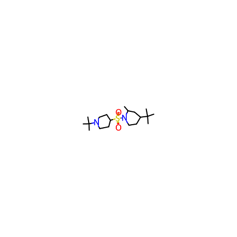 CC1CC(C(C)(C)C)CCN1S(=O)(=O)C1CCN(C(C)(C)C)CC1